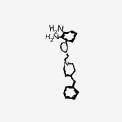 Nc1cccc(OCCN2CCC(Cc3ccccc3)CC2)c1N